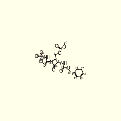 COC(=O)OC[C@H]1[C@@H](NC(=O)OCc2ccccc2)C(=O)N1C(=O)NS(=O)(=O)Cl